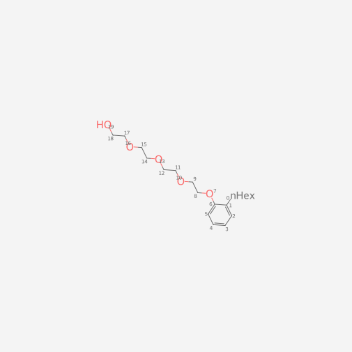 CCCCCCc1ccccc1OCCOCCOCCOCCO